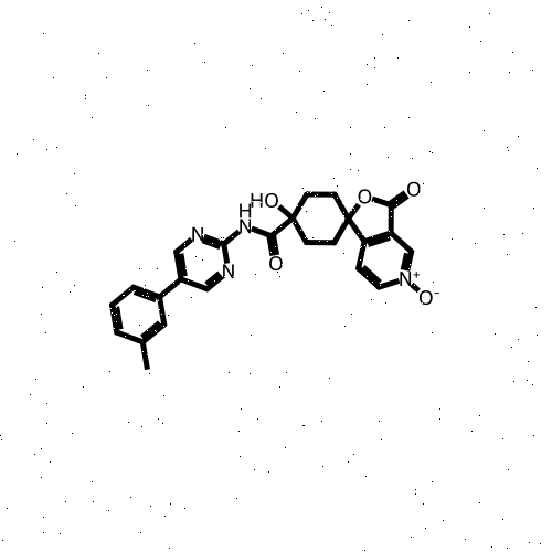 Cc1cccc(-c2cnc(NC(=O)C3(O)CCC4(CC3)OC(=O)c3c[n+]([O-])ccc34)nc2)c1